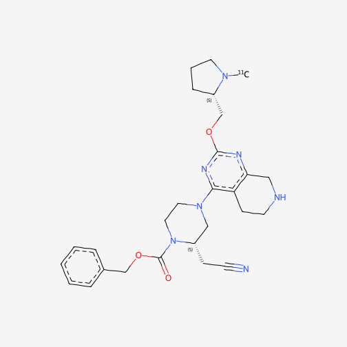 [11CH3]N1CCC[C@H]1COc1nc2c(c(N3CCN(C(=O)OCc4ccccc4)[C@@H](CC#N)C3)n1)CCNC2